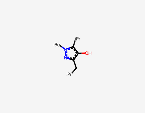 CCC(C)n1nc(CC(C)C)c(O)c1C(C)C